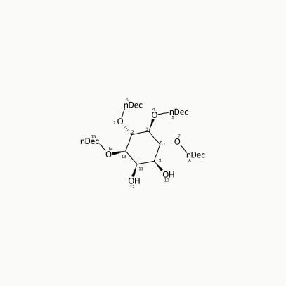 CCCCCCCCCCO[C@@H]1[C@@H](OCCCCCCCCCC)[C@H](OCCCCCCCCCC)[C@@H](O)[C@@H](O)[C@H]1OCCCCCCCCCC